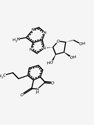 CCCc1cccc2c1C(=O)NC2=O.Nc1ncnc2c1ncn2[C@@H]1O[C@H](CO)[C@@H](O)[C@H]1O